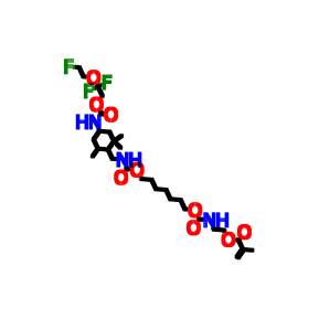 C=C(C)C(=O)OCCNC(=O)OCCCCCCCOC(=O)NCC1C(C)CC(NC(=O)OCC(F)(F)OCCF)CC1(C)C